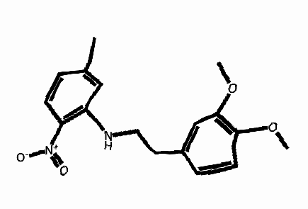 COc1ccc(CCNc2cc(C)ccc2[N+](=O)[O-])cc1OC